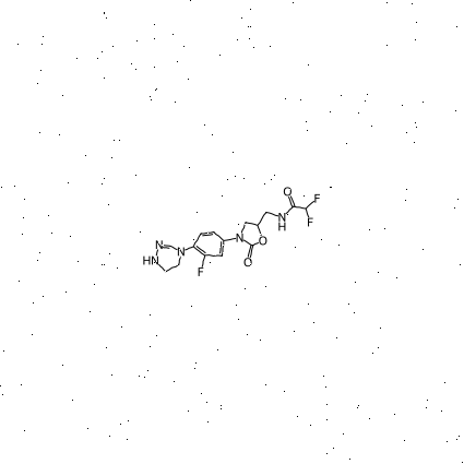 O=C(NCC1CN(c2ccc(N3C=NNCC3)c(F)c2)C(=O)O1)C(F)F